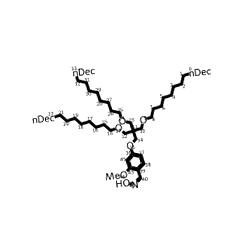 CCCCCCCCCCCCCCCCCCOCC(COCCCCCCCCCCCCCCCCCC)(COCCCCCCCCCCCCCCCCCC)COc1ccc(/C=N\O)c(OC)c1